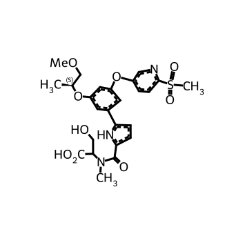 COC[C@H](C)Oc1cc(Oc2ccc(S(C)(=O)=O)nc2)cc(-c2ccc(C(=O)N(C)C(CO)C(=O)O)[nH]2)c1